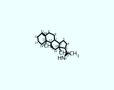 CC(=N)C1CCC2C3CCC4=CCCCC4(C)C3CCC12C